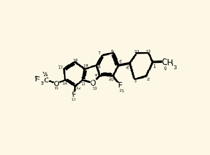 CC1CCC(c2ccc3c(oc4c(F)c(OC(F)(F)F)ccc43)c2F)CC1